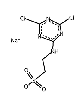 O=S(=O)([O-])CCNc1nc(Cl)nc(Cl)n1.[Na+]